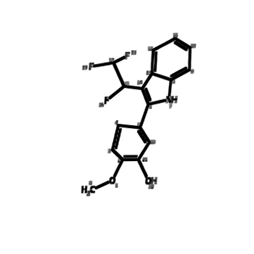 COc1ccc(-c2[nH]c3ccccc3c2C(F)C(F)F)cc1O